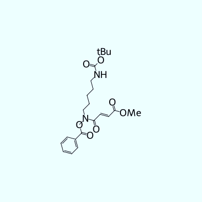 COC(=O)/C=C/C(=O)N(CCCCCNC(=O)OC(C)(C)C)OC(=O)c1ccccc1